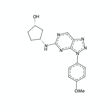 COc1ccc(-n2nnc3cnc(N[C@@H]4CC[C@H](O)C4)nc32)cc1